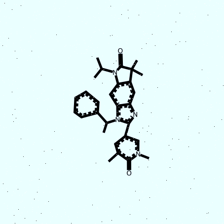 Cc1cc(-c2nc3cc4c(cc3n2C(C)c2ccccc2)N(C(C)C)C(=O)C4(C)C)cn(C)c1=O